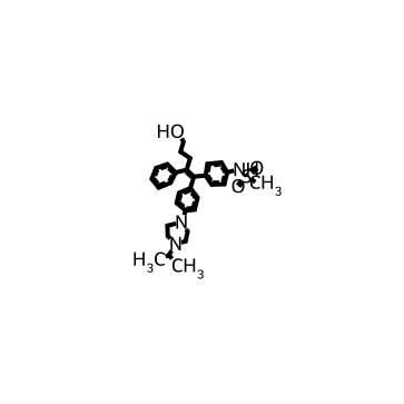 CC(C)N1CCN(c2ccc(C(=C(CCCO)c3ccccc3)c3ccc(NS(C)(=O)=O)cc3)cc2)CC1